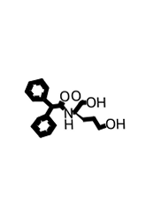 O=C(N[C@H](CCCO)C(=O)O)C(c1ccccc1)c1ccccc1